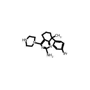 CC(C)c1ccc(C2(C)CCCc3c(N4CCNCC4)nc(N)nc32)cc1